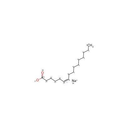 CCCCCCCCC/C=C\CCCCC(=O)[O-].[Na+]